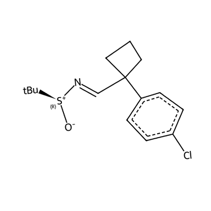 CC(C)(C)[S@+]([O-])N=CC1(c2ccc(Cl)cc2)CCC1